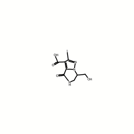 O=C(O)c1c(I)nn2c1C(=O)NCC2CO